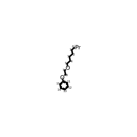 CC(C)CCCCCOCCOc1ccccc1